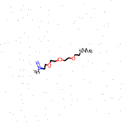 [3H]NCCOCCOCCOCCNC